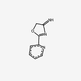 N=C1COC(c2ccccn2)=N1